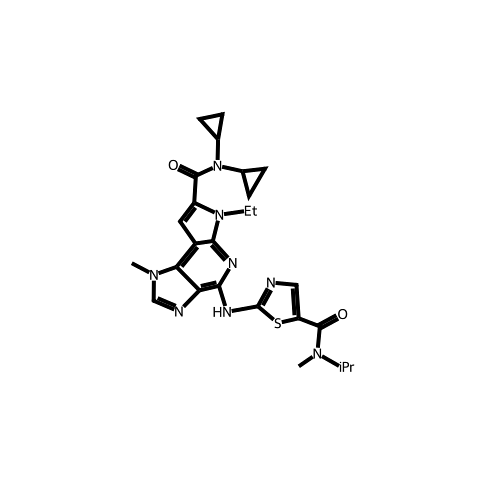 CCn1c(C(=O)N(C2CC2)C2CC2)cc2c3c(ncn3C)c(Nc3ncc(C(=O)N(C)C(C)C)s3)nc21